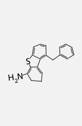 NC1=c2sc3cccc(Cc4ccccc4)c3c2=CCC1